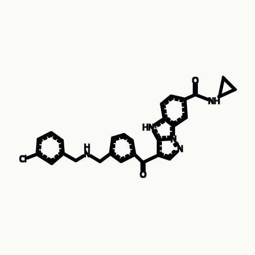 O=C(NC1CC1)c1ccc2[nH]c3c(C(=O)c4cccc(CNCc5cccc(Cl)c5)c4)cnn3c2c1